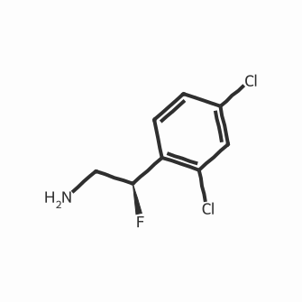 NC[C@H](F)c1ccc(Cl)cc1Cl